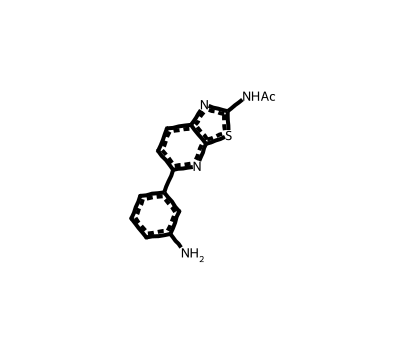 CC(=O)Nc1nc2ccc(-c3cccc(N)c3)nc2s1